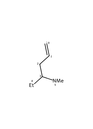 [CH]=CCC(CC)NC